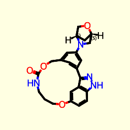 O=C1NCCCOc2ccc3[nH]nc(c3c2)-c2cc(cc(N3C[C@@H]4C[C@H]3CO4)c2)CO1